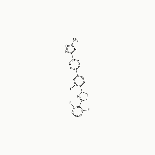 Fc1cc(-c2ccc(-c3noc(C(F)(F)F)n3)cc2)ccc1C1CCC(c2c(F)cccc2F)=N1